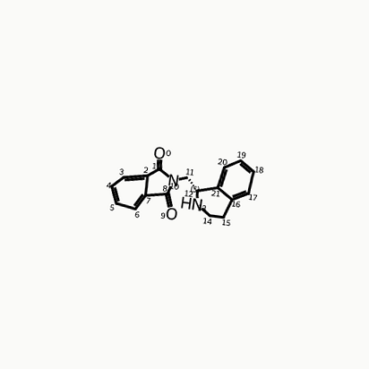 O=C1c2ccccc2C(=O)N1C[C@H]1NCCc2ccccc21